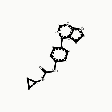 O=C(Nc1ccc(-c2ncnc3[nH]ccc23)cc1)NC1CC1